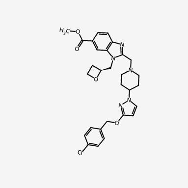 COC(=O)c1ccc2nc(CN3CCC(n4ccc(OCc5ccc(Cl)cc5)n4)CC3)n(C[C@@H]3CCO3)c2c1